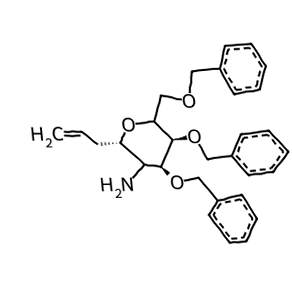 C=CC[C@@H]1OC(COCc2ccccc2)[C@@H](OCc2ccccc2)[C@@H](OCc2ccccc2)C1N